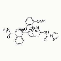 COc1cccc(OC)c1C12CC3CC(NC(=O)n4cccn4)(C1)C(C(=O)O)C(c1ccc(C(N)=O)c4ccccc14)(C3)C2